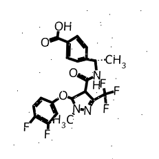 C[C@H](NC(=O)C1C(C(F)(F)F)=NN(C)C1Oc1ccc(F)c(F)c1)c1ccc(C(=O)O)cc1